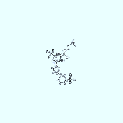 CN(C)CCOC(=O)CN/C(=C\C(=N)C(F)(F)F)c1ccc(-c2cccc(S(C)(=O)=O)c2)o1